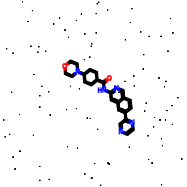 O=C(Nc1cc2cc(-c3cnccn3)ccc2cn1)C1CCC(N2CCOCC2)CC1